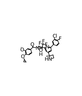 COc1cc(C(=O)NCC(O)(c2cc(C3(C)CCN3)cc(-c3ccc(F)c(Cl)c3)n2)C(F)(F)F)ccc1OC1CC1